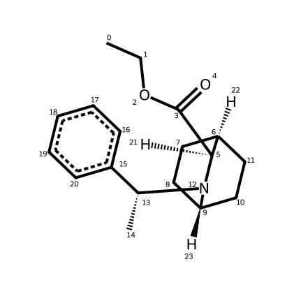 CCOC(=O)[C@H]1[C@H]2CC[C@@H](CC2)N1[C@H](C)c1ccccc1